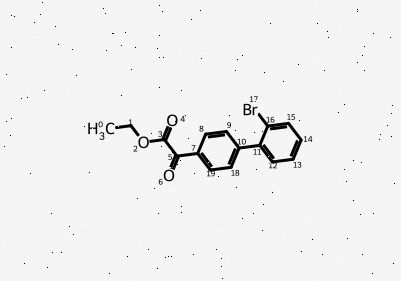 CCOC(=O)C(=O)c1ccc(-c2ccccc2Br)cc1